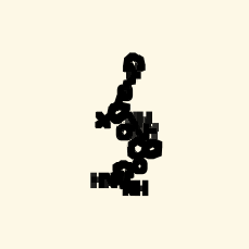 CC(C)(C)c1cc(COCCN2CCCCC2)cc(NC(=O)N[C@H]2CC[C@@H](Oc3ccc(=N)n(C=N)c3)c3ccccc32)c1